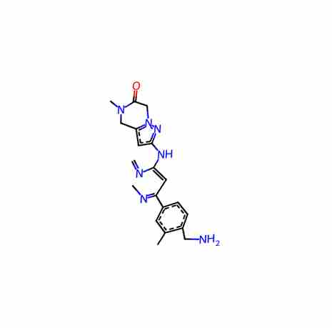 C=N/C(=C\C(=N/C)c1ccc(CN)c(C)c1)Nc1cc2n(n1)CC(=O)N(C)C2